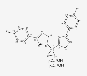 CC(C)O.CC(C)O.Cc1ccc(C2=CC[C]([Hf]3([C]4=CC(c5ccc(C)cc5)=CC4)[CH2][CH2]3)=C2)cc1